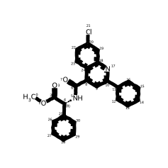 COC(=O)[C@H](NC(=O)c1cc(-c2ccccc2)nc2cc(Cl)ccc12)c1ccccc1